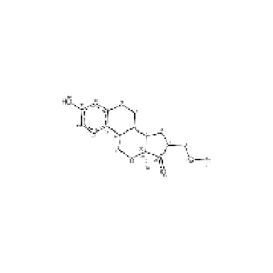 CCOCC1CC2C3CCc4cc(O)ccc4C3CC[C@]2(C)C1=O